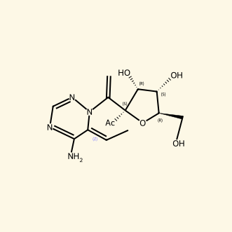 C=C(N1N=CN=C(N)/C1=C/C)[C@]1(C(C)=O)O[C@H](CO)[C@@H](O)[C@H]1O